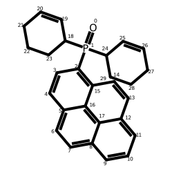 O=P(c1ccc2ccc3cccc4ccc1c2c34)(C1C=CCCC1)C1C=CCCC1